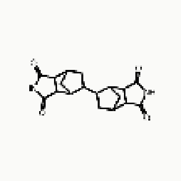 O=C1NC(=O)C2C3CC(CC3C3CC4CC3C3C(=O)NC(=O)C43)C12